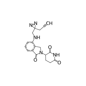 C#CCC1(CNc2cccc3c2CN(C2CCC(=O)NC2=O)C3=O)N=N1